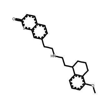 COc1cccc2c1CCCC2CCNCCc1ccc2ccc(=O)sc2c1